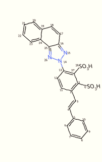 O=S(=O)(O)c1c(C=Cc2ccccc2)ccc(-n2nc3ccc4ccccc4c3n2)c1S(=O)(=O)O